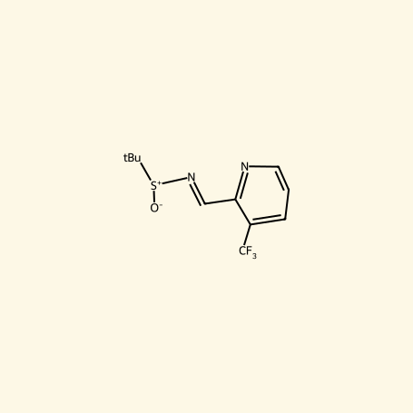 CC(C)(C)[S+]([O-])N=Cc1ncccc1C(F)(F)F